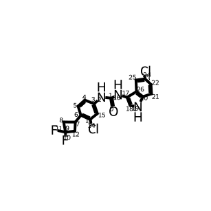 O=C(Nc1ccc(C2CC(F)(F)C2)c(Cl)c1)Nc1c[nH]c2ccc(Cl)cc12